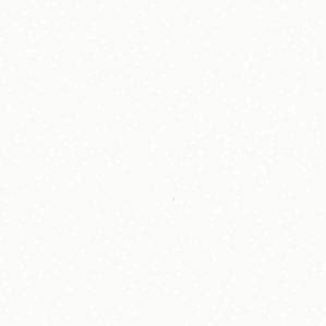 CCC(C)Oc1ccc(C)s1